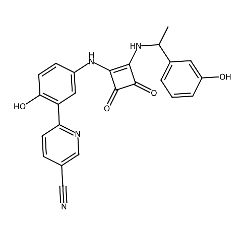 CC(Nc1c(Nc2ccc(O)c(-c3ccc(C#N)cn3)c2)c(=O)c1=O)c1cccc(O)c1